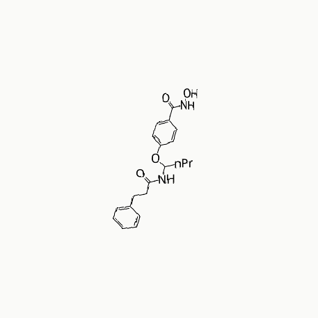 CCCC(NC(=O)CCc1ccccc1)Oc1ccc(C(=O)NO)cc1